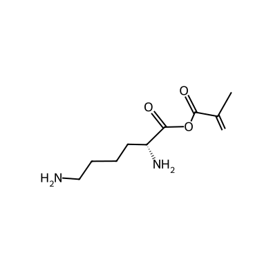 C=C(C)C(=O)OC(=O)[C@H](N)CCCCN